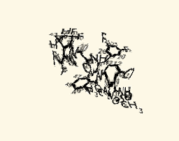 Cn1nc(NS(C)(=O)=O)c2c(Cl)ccc(-n3c([C@H](Cc4cc(F)cc(F)c4)NC(=O)Cn4nc(C(F)F)c5c4C(F)(F)[C@@H]4C[C@H]54)nc4cccc(F)c4c3=O)c21